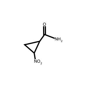 NC(=O)C1CC1[N+](=O)[O-]